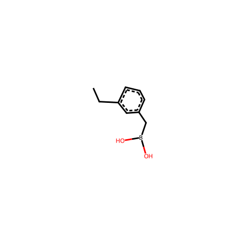 CCc1cccc(CB(O)O)c1